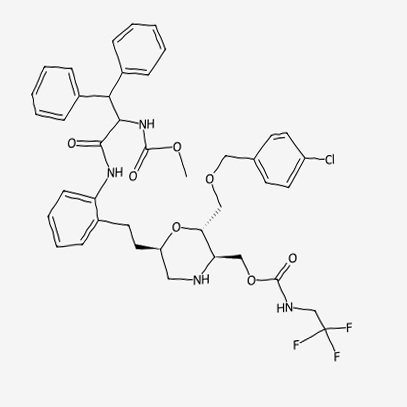 COC(=O)NC(C(=O)Nc1ccccc1CC[C@@H]1CN[C@H](COC(=O)NCC(F)(F)F)[C@@H](COCc2ccc(Cl)cc2)O1)C(c1ccccc1)c1ccccc1